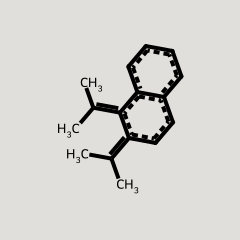 CC(C)=c1ccc2ccccc2c1=C(C)C